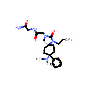 COCCN1C(=O)N(CC(=O)NCC(N)=O)C[C@]12CC[C@](c1ccccc1)(N(C)C)CC2